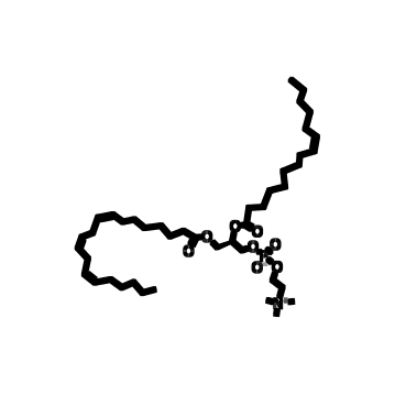 CCCCC/C=C\C/C=C\C/C=C\CCCCCCC(=O)OC[C@H](COP(=O)([O-])OCC[N+](C)(C)C)OC(=O)CCCCCCC/C=C\CCCCC